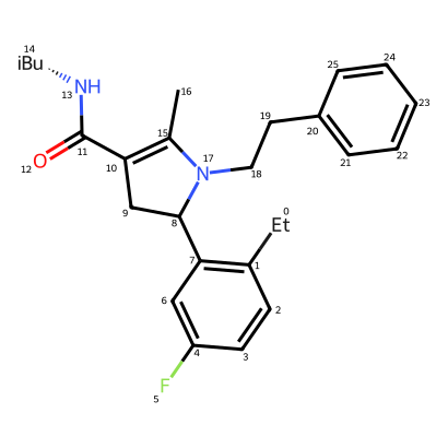 CCc1ccc(F)cc1C1CC(C(=O)N[C@@H](C)CC)=C(C)N1CCc1ccccc1